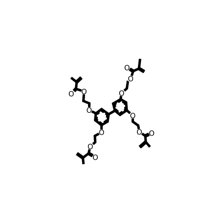 C=C(C)C(=O)OCCOc1cc(OCCOC(=O)C(=C)C)cc(-c2cc(OCCOC(=O)C(=C)C)cc(OCCOC(=O)C(=C)C)c2)c1